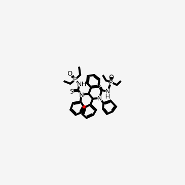 CCP(=O)(CC)NC(=S)N(c1ccccc1)C(c1ccccc1)C(c1ccccc1)N(C(=S)NP(=O)(CC)CC)c1ccccc1